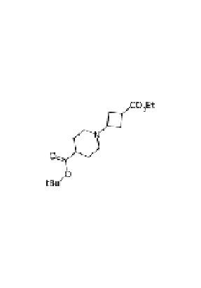 CCOC(=O)C1CC(N2CCC(C(=O)OC(C)(C)C)CC2)C1